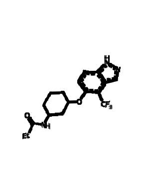 CCC(=O)NC1CCCC(Oc2ccc3[nH]ncc3c2C(F)(F)F)C1